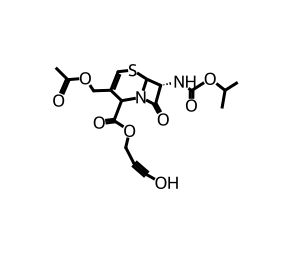 CC(=O)OCC1=CSC2[C@H](NC(=O)OC(C)C)C(=O)N2C1C(=O)OCC#CO